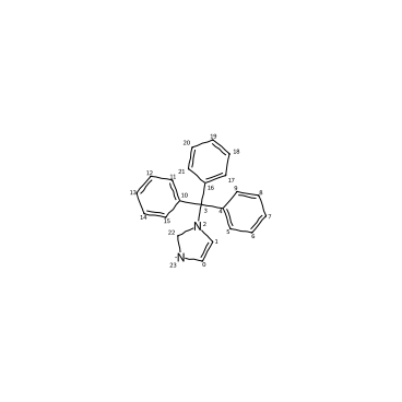 C1=CN(C(c2ccccc2)(c2ccccc2)c2ccccc2)C[N]1